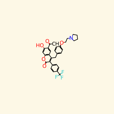 CC(=O)c1cc2c(Cc3ccc(OCCN4CCCC4)cc3)c(-c3ccc(C(F)(F)F)cc3)c(=O)oc2cc1O